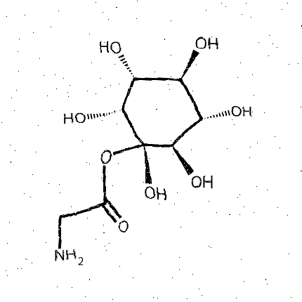 NCC(=O)O[C@]1(O)[C@H](O)[C@H](O)[C@@H](O)[C@H](O)[C@H]1O